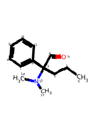 CCCC([C]=O)(c1ccccc1)N(C)C